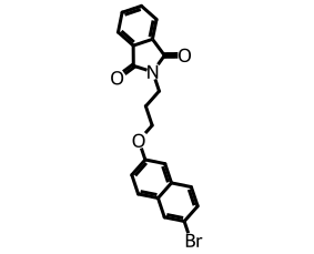 O=C1c2ccccc2C(=O)N1CCCOc1ccc2cc(Br)ccc2c1